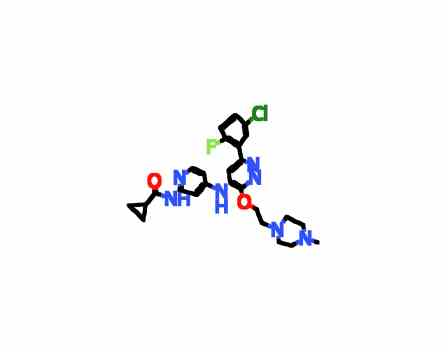 CN1CCN(CCOc2nnc(-c3cc(Cl)ccc3F)cc2Nc2ccnc(NC(=O)C3CC3)c2)CC1